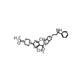 CC(=O)N1CCN(c2nc(C)c(C(=O)N3CC4CN(CC[C@H](N)c5ccccc5)CC4C3)c(C)n2)CC1